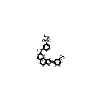 CNS(=O)(=O)c1cccc(Nc2ncc3c(n2)-c2cc(-c4cccc(OC)c4)sc2CC3)c1